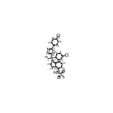 CCC(c1ccc(Cl)cc1)(c1nnc(-c2ccc(Cl)cc2)o1)n1ccc2c(NS(C)(=O)=O)cccc21